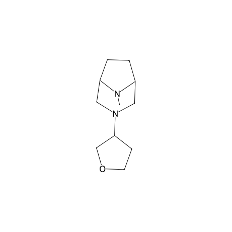 CN1C2CCC1CN(C1CCOC1)C2